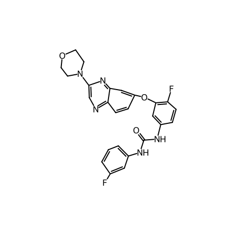 O=C(Nc1cccc(F)c1)Nc1ccc(F)c(Oc2ccc3ncc(N4CCOCC4)nc3c2)c1